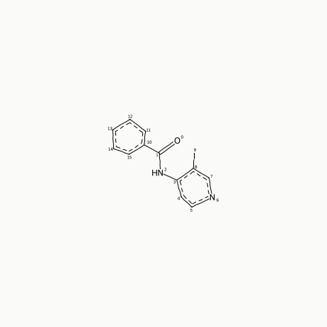 O=C(Nc1ccncc1I)c1ccccc1